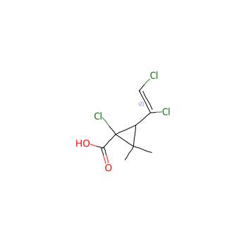 CC1(C)C(/C(Cl)=C/Cl)C1(Cl)C(=O)O